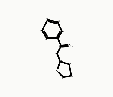 O=C(CC1CCCS1)c1ccccc1